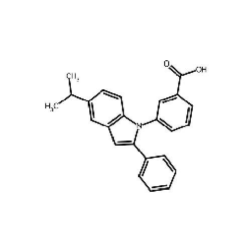 CC(C)c1ccc2c(c1)cc(-c1ccccc1)n2-c1cccc(C(=O)O)c1